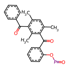 Cc1cc(C)c(C(=O)c2ccccc2OP=O)c(C)c1C(=O)c1ccccc1